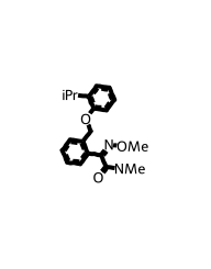 CNC(=O)C(=NOC)c1ccccc1COc1ccccc1C(C)C